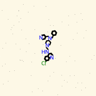 Clc1ccc2c(NCCN3CCC(N(Cc4ccccc4)Cc4ccncc4)CC3)ccnc2c1